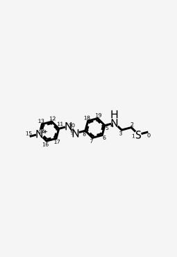 CSCCNc1ccc(N=Nc2cc[n+](C)cc2)cc1